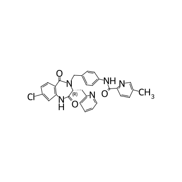 Cc1ccc(C(=O)Nc2ccc(CN3C(=O)c4ccc(Cl)cc4NC(=O)[C@H]3Cc3ccccn3)cc2)nc1